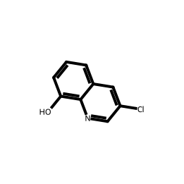 Oc1cccc2cc(Cl)cnc12